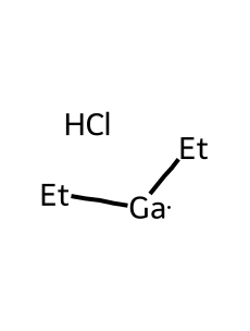 C[CH2][Ga][CH2]C.Cl